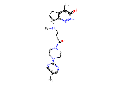 CC(C)N(CCC(=O)N1CCN(c2ncc(C(F)(F)F)cn2)CC1)[C@@H]1CCc2c1n[nH]c(=O)c2C(F)(F)F